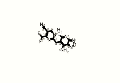 Cc1nc2nonc2c(N)c1Cc1ncc(C#N)c(C(F)F)n1